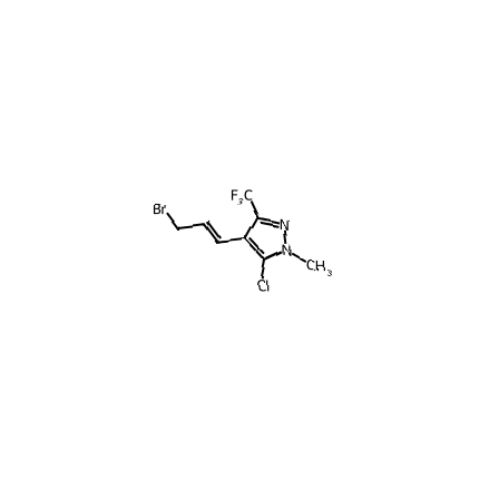 Cn1nc(C(F)(F)F)c(/C=C/CBr)c1Cl